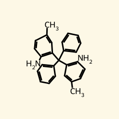 Cc1ccc(N)c(C(c2ccccc2)(c2ccccc2)c2cc(C)ccc2N)c1